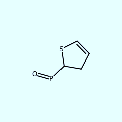 O=PC1CC=CS1